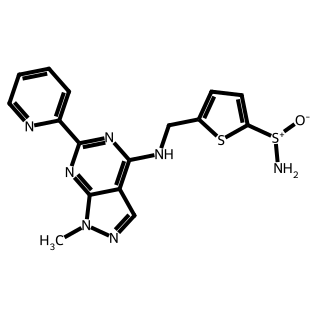 Cn1ncc2c(NCc3ccc([S+](N)[O-])s3)nc(-c3ccccn3)nc21